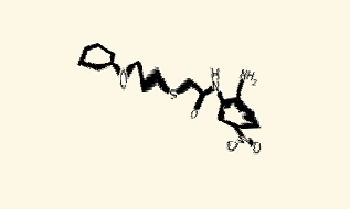 Nc1ccc([N+](=O)[O-])cc1NC(=O)CSCCCOC1CCCCC1